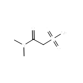 CN(C)C(=O)CS(N)(=O)=O